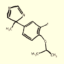 CC(C)Oc1ccc(C2(C)C=NC=N2)cc1F